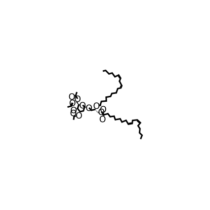 CCCCC/C=C\C/C=C\CCCCCCCC(=O)OC[C@H](CO[C@H]1CC(OC(C)=O)[C@@H](OC(C)=O)[C@@H](COC(C)=O)O1)OC(=O)CCCCCCC/C=C\C/C=C\CCCCC